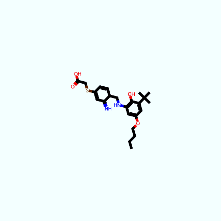 CCCCOc1cc(NCC2C=CC(SCC(=O)O)=CC2=N)c(O)c(C(C)(C)C)c1